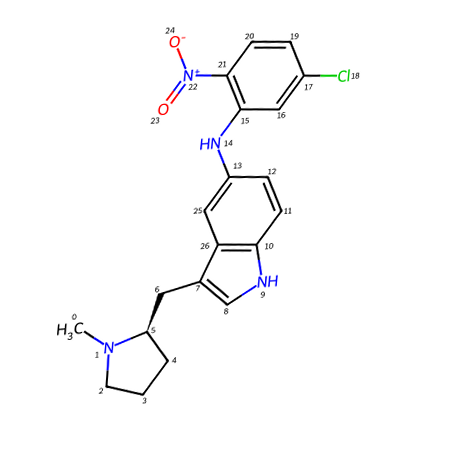 CN1CCC[C@@H]1Cc1c[nH]c2ccc(Nc3cc(Cl)ccc3[N+](=O)[O-])cc12